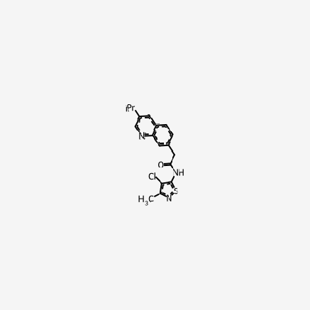 Cc1nsc(NC(=O)Cc2ccc3cc(C(C)C)cnc3c2)c1Cl